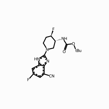 CC(C)(C)OC(=O)N[C@@H]1CN(c2nc3c(C#N)cc(F)cc3[nH]2)CC[C@H]1F